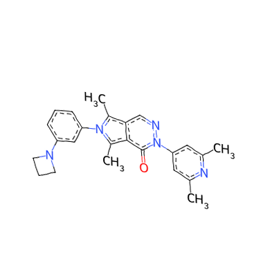 Cc1cc(-n2ncc3c(C)n(-c4cccc(N5CCC5)c4)c(C)c3c2=O)cc(C)n1